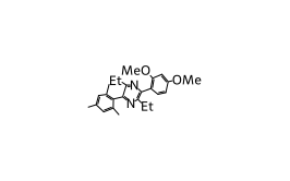 CCc1nc(-c2c(C)cc(C)cc2C)c(CC)nc1-c1ccc(OC)cc1OC